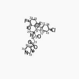 O=S(=O)(CC[C@@H]1OCC[C@@]2(Cc3ccc(Cl)cc3)c3c(F)ccc(F)c3OC[C@@H]12)c1ccncn1